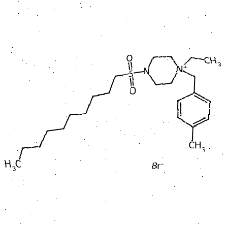 CCCCCCCCCCS(=O)(=O)N1CC[N+](CC)(Cc2ccc(C)cc2)CC1.[Br-]